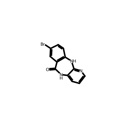 O=C1Nc2cccnc2Nc2ccc(Br)cc21